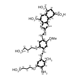 COc1cc(N=Nc2cc(OCCCS(=O)(=O)O)c(N)cc2C)c(SCCCS(=O)(=O)O)cc1N=Nc1nc2c(S(=O)(=O)O)cc3c(S(=O)(=O)O)cc(S(=O)(=O)O)cc3c2s1